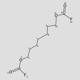 O=C(F)OCCCCCCCOC(=O)F